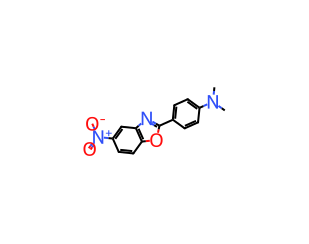 CN(C)c1ccc(-c2nc3cc([N+](=O)[O-])ccc3o2)cc1